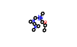 c1ccc(-c2ccc3oc4cc(-c5nc(-c6ccccc6)nc(-c6cccc(-n7c8ccccc8c8cc9c(cc87)c7ccccc7n9-c7ccccc7)c6)n5)ccc4c3c2)cc1